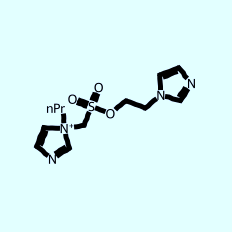 CCC[N+]1(CS(=O)(=O)OCCn2ccnc2)C=CN=C1